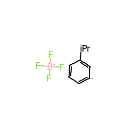 CC(C)c1c[c]ccc1.F[B-](F)(F)F